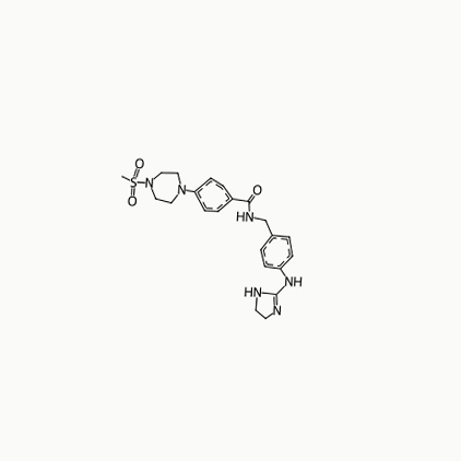 CS(=O)(=O)N1CCN(c2ccc(C(=O)NCc3ccc(NC4=NCCN4)cc3)cc2)CC1